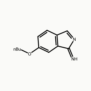 CCCCOc1ccc2c(c1)C(=N)N=C2